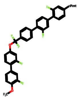 CCCCCc1ccc(-c2ccc(-c3ccc(C(F)(F)Oc4ccc(-c5ccc(OC(F)(F)F)c(F)c5)c(F)c4)cc3)c(F)c2)c(F)c1